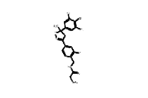 CSCC(=O)NCc1ccc(C2=NOC(c3cc(Cl)c(Cl)c(Cl)c3)(C(F)(F)F)C2)cc1Cl